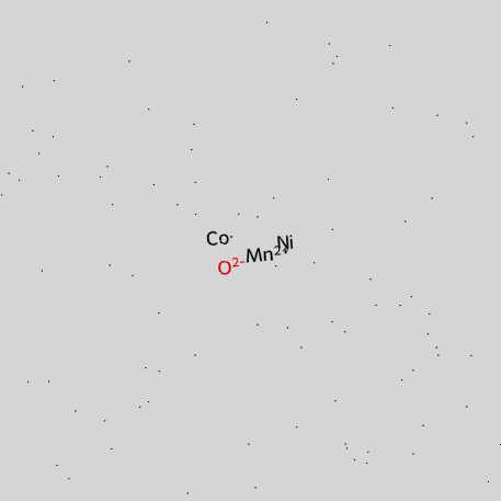 [Co].[Mn+2].[Ni].[O-2]